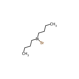 CCC[CH2][Bi]([Br])[CH2]CCC